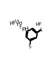 F.F.F.F.F.[S]c1cccc(I)c1